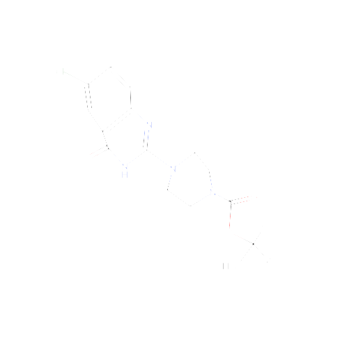 CC(C)(C)OC(=O)N1CCN(c2nc3ccc(Cl)cc3c(=O)[nH]2)CC1